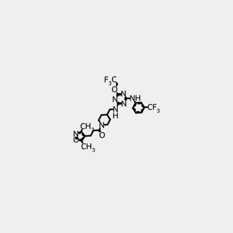 Cc1noc(C)c1CCC(=O)N1CCC(CNc2nc(Nc3cccc(C(F)(F)F)c3)nc(OCC(F)(F)F)n2)CC1